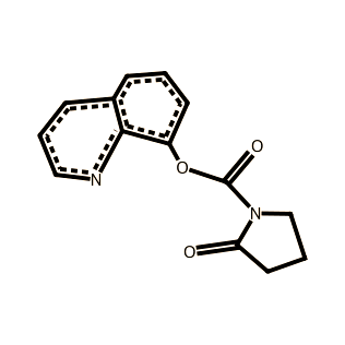 O=C1CCCN1C(=O)Oc1cccc2cccnc12